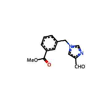 COC(=O)c1cccc(Cn2cnc(C=O)c2)c1